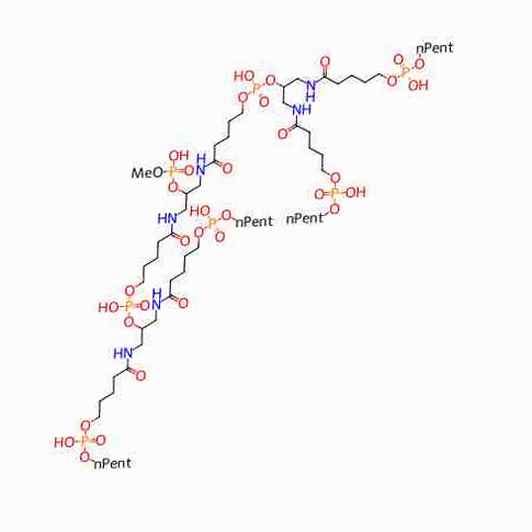 CCCCCOP(=O)(O)OCCCCC(=O)NCC(CNC(=O)CCCCOP(=O)(O)OCCCCC)OP(=O)(O)OCCCCC(=O)NCC(CNC(=O)CCCCOP(=O)(O)OC(CNC(=O)CCCCOP(=O)(O)OCCCCC)CNC(=O)CCCCOP(=O)(O)OCCCCC)OP(=O)(O)OC